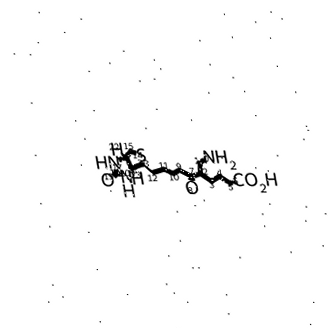 NCC(CCCC(=O)O)C(=O)CCCC[C@@H]1SC[C@@H]2NC(=O)N[C@@H]21